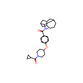 O=C(NC1C2CCCC3CC1CC3C2)c1ccc(OC2CCN(C(=O)C3CC3)CC2)cc1